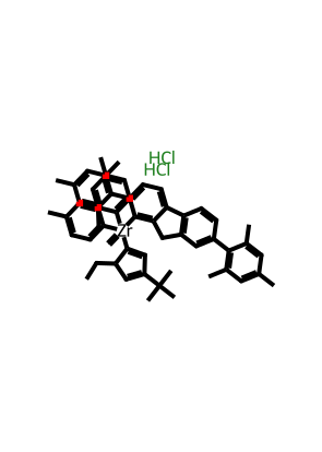 Cl.Cl.[CH2]=[Zr]([C]1=CC(C(C)(C)C)=CC1CC)([c]1ccc(C)cc1)([c]1ccc(C)cc1)[c]1c(-c2c(C)cc(C)cc2C)ccc2c1Cc1cc(-c3c(C)cc(C)cc3C)ccc1-2